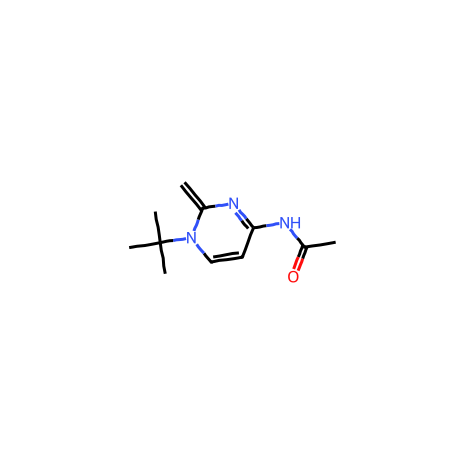 C=C1N=C(NC(C)=O)C=CN1C(C)(C)C